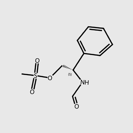 CS(=O)(=O)OC[C@@H](NC=O)c1ccccc1